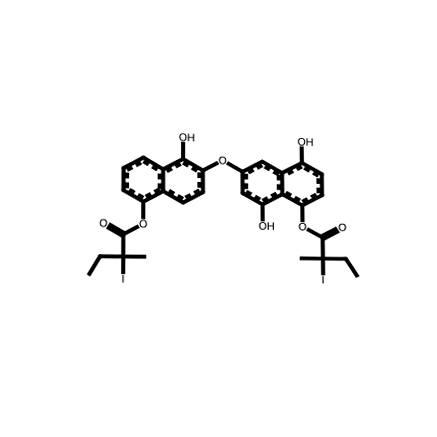 CCC(C)(I)C(=O)Oc1cccc2c(O)c(Oc3cc(O)c4c(OC(=O)C(C)(I)CC)ccc(O)c4c3)ccc12